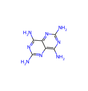 Nc1nc(N)c2nc(N)nc(N)c2n1